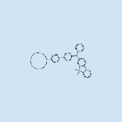 CC1(C)c2ccccc2-c2ccc(N(c3ccccc3)c3ccc(-c4ccc(C5CCCCCCCCCCC5)cc4)cc3)cc21